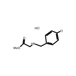 COC(=O)CNCc1ccc(Cl)cc1.Cl